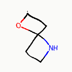 [CH]1CC2(CCN2)O1